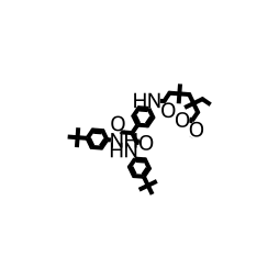 CCC(C)(CC(=O)OC)CC(C)(C)CC(=O)Nc1ccc(C(C(=O)Nc2ccc(C(C)(C)C)cc2)C(=O)Nc2ccc(C(C)(C)C)cc2)cc1